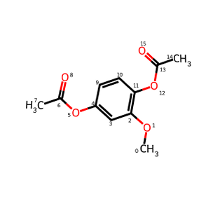 COc1cc(OC(C)=O)ccc1OC(C)=O